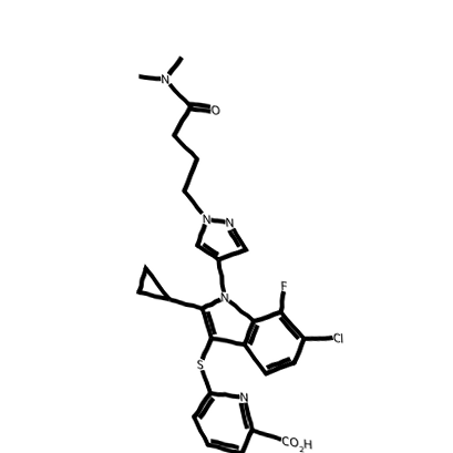 CN(C)C(=O)CCCn1cc(-n2c(C3CC3)c(Sc3cccc(C(=O)O)n3)c3ccc(Cl)c(F)c32)cn1